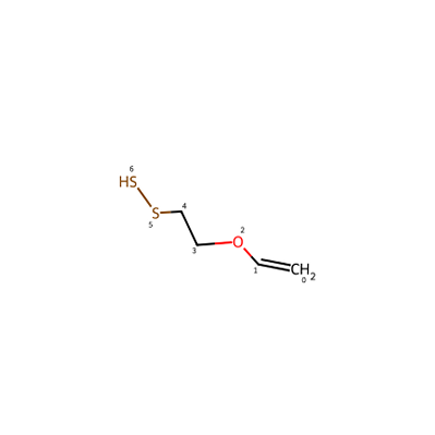 C=COCCSS